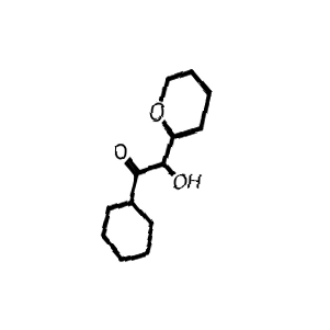 O=C(C1CCCCC1)C(O)C1CCCCO1